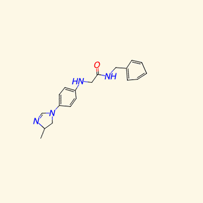 CC1CN(c2ccc(NCC(=O)NCc3ccccc3)cc2)C=N1